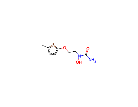 Cc1ccc(OCCN(O)C(N)=O)s1